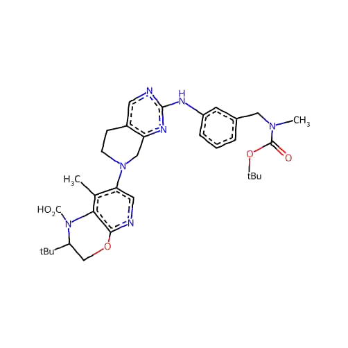 Cc1c(N2CCc3cnc(Nc4cccc(CN(C)C(=O)OC(C)(C)C)c4)nc3C2)cnc2c1N(C(=O)O)C(C(C)(C)C)CO2